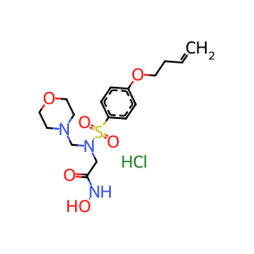 C=CCCOc1ccc(S(=O)(=O)N(CC(=O)NO)CN2CCOCC2)cc1.Cl